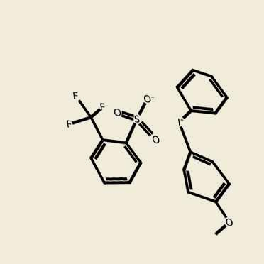 COc1ccc([I+]c2ccccc2)cc1.O=S(=O)([O-])c1ccccc1C(F)(F)F